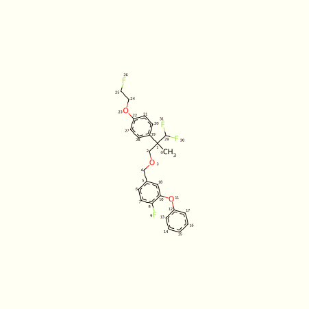 CC(COCc1ccc(F)c(Oc2ccccc2)c1)(c1ccc(OCCF)cc1)C(F)F